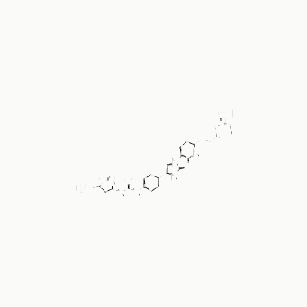 CN1CCOC(COc2ccc3c(n2)sc2nc(-c4ccc(NC(=O)Nc5cc(C(C)(C)C)on5)cc4)cn23)C1